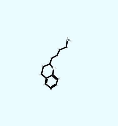 CCCCCC1CCc2c[c]ccc2O1